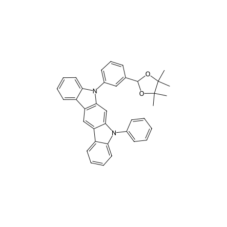 CC1(C)OC(c2cccc(-n3c4ccccc4c4cc5c6ccccc6n(-c6ccccc6)c5cc43)c2)OC1(C)C